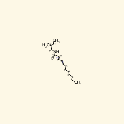 CCCCCCC/C=C/C=C/C(=O)NCC(C)CC